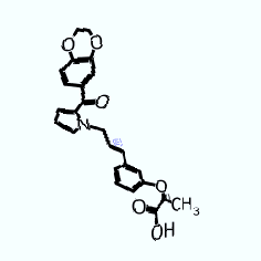 C[C@H](Oc1cccc(/C=C/Cn2cccc2C(=O)c2ccc3c(c2)OCCO3)c1)C(=O)O